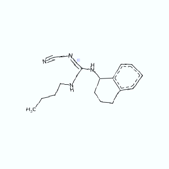 CCCCN/C(=N\C#N)NC1CCCc2ccccc21